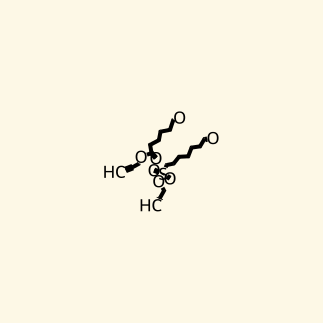 C#CCOC(=O)CCCCC=O.C#CCOS(=O)(=O)CCCCCCC=O